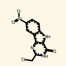 O=c1[nH]c(CCl)nc2c1[nH]c1ccc([N+](=O)[O-])cc12